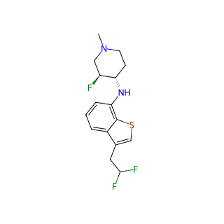 CN1CC[C@H](Nc2cccc3c(CC(F)F)csc23)[C@@H](F)C1